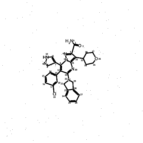 NC(=O)c1nn2c(-c3cn[nH]c3)c(-c3cccc(Cl)c3)c(N3Cc4ccccc4C3)nc2c1C1CCOCC1